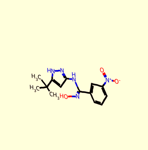 CC(C)(C)c1cc(NC(=NO)c2cccc([N+](=O)[O-])c2)n[nH]1